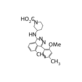 COc1cc(C)ccc1-c1nnc(NC2CCCN(C(=O)O)C2)c2cccc(C)c12